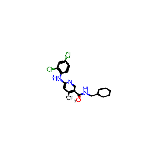 O=C(NCC1CCCCC1)c1cnc(Nc2ccc(Cl)cc2Cl)cc1C(F)(F)F